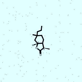 CCCC1(C)CCC2[C@@H](C1)OC(=O)[C@@H]2C